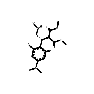 COC(=O)C(C(=O)OC)[C@@H](C[N+](=O)[O-])c1c(F)cc(N(C)C)cc1F